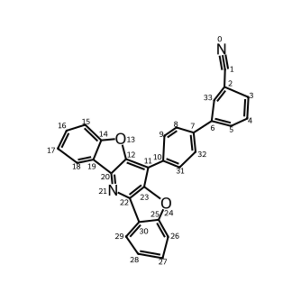 N#Cc1cccc(-c2ccc(-c3c4oc5ccccc5c4nc4c3oc3ccccc34)cc2)c1